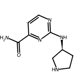 NC(=O)c1[c]cnc(N[C@H]2CCNC2)n1